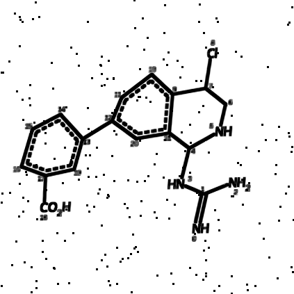 N=C(N)NC1NCC(Cl)c2ccc(-c3cccc(C(=O)O)c3)cc21